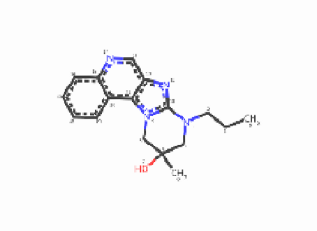 CCCN1CC(C)(O)Cn2c1nc1cnc3ccccc3c12